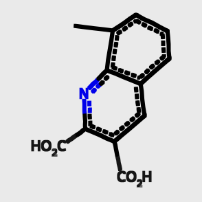 Cc1cccc2cc(C(=O)O)c(C(=O)O)nc12